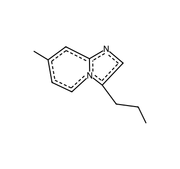 CCCc1cnc2cc(C)ccn12